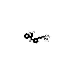 CN(C)C/C=C/c1cccc(C(=O)c2cc(=O)oc3ccccc23)c1